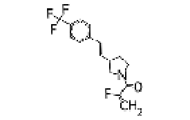 C=C(F)C(=O)N1CCC(C=Cc2ccc(C(F)(F)F)cc2)C1